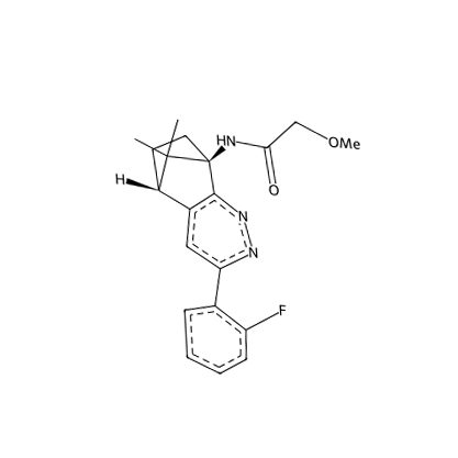 COCC(=O)N[C@@]12CC[C@@H](c3cc(-c4ccccc4F)nnc31)C2(C)C